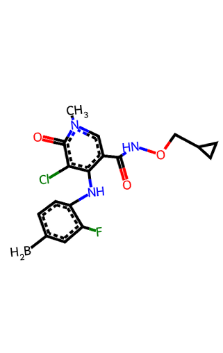 Bc1ccc(Nc2c(C(=O)NOCC3CC3)cn(C)c(=O)c2Cl)c(F)c1